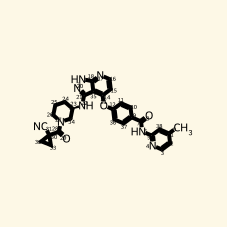 Cc1ccnc(NC(=O)c2ccc(Oc3ccnc4[nH]nc(N[C@@H]5CCCN(C(=O)C6(C#N)CC6)C5)c34)cc2)c1